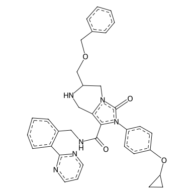 O=C(NCc1ccccc1-c1ncccn1)c1c2n(c(=O)n1-c1ccc(OC3CC3)cc1)CC(COCc1ccccc1)NC2